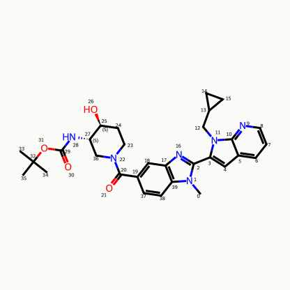 Cn1c(-c2cc3cccnc3n2CC2CC2)nc2cc(C(=O)N3CC[C@H](O)[C@@H](NC(=O)OC(C)(C)C)C3)ccc21